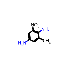 Cc1cc(N)cc([N+](=O)[O-])c1N